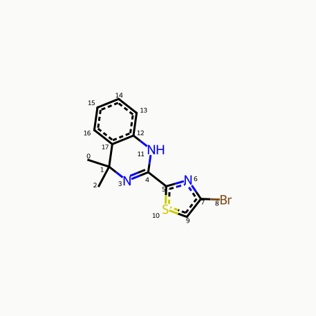 CC1(C)N=C(c2nc(Br)cs2)Nc2ccccc21